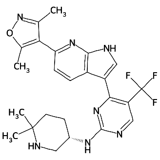 Cc1noc(C)c1-c1ccc2c(-c3nc(N[C@H]4CCC(C)(C)NC4)ncc3C(F)(F)F)c[nH]c2n1